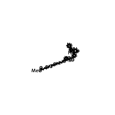 COC(=O)CCCOCCOCCOCCCCCCOc1cccc([C@H](C)NC(=O)c2cccc(NC3(c4nnc(-c5ccncc5)[nH]4)CCN(C)CC3)c2)c1